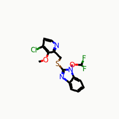 COc1c(Cl)ccnc1CSc1nc2ccccc2n1OC(F)F